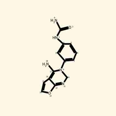 NC(=O)Nc1cccc(N2CN=c3occc3=C2N)c1